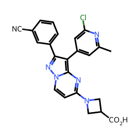 Cc1cc(-c2c(-c3cccc(C#N)c3)nn3ccc(N4CC(C(=O)O)C4)nc23)cc(Cl)n1